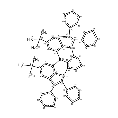 CC(C)(C)c1cc2c3c(c1)c(-c1ccccc1)c(-c1ccccc1)n3-c1cccc3c1B2c1cc(C(C)(C)C)cc2c(-c4ccccc4)c(-c4ccccc4)n-3c12